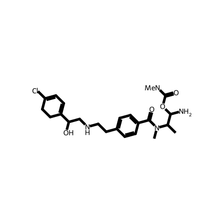 CNC(=O)OC(N)C(C)N(C)C(=O)c1ccc(CCNCC(O)C2=CC=C(Cl)CC2)cc1